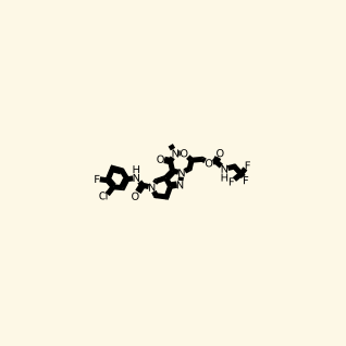 CN1OC(COC(=O)NCC(F)(F)F)Cn2nc3c(c2C1=O)CN(C(=O)Nc1ccc(F)c(Cl)c1)CC3